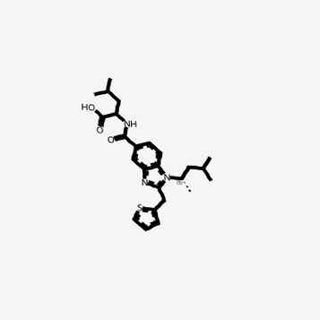 CC(C)CC(NC(=O)c1ccc2c(c1)nc(Cc1cccs1)n2[C@@H](C)CC(C)C)C(=O)O